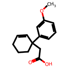 COc1cccc(C2(CC(=O)O)C=CCCC2)c1